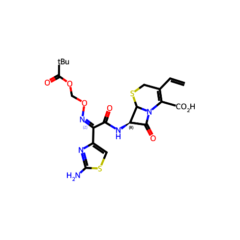 C=CC1=C(C(=O)O)N2C(=O)[C@@H](NC(=O)/C(=N\OCOC(=O)C(C)(C)C)c3csc(N)n3)C2SC1